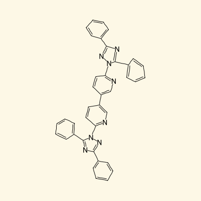 c1ccc(-c2nc(-c3ccccc3)n(-c3ccc(-c4ccc(-n5nc(-c6ccccc6)nc5-c5ccccc5)nc4)cn3)n2)cc1